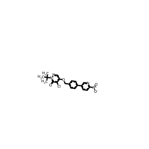 CC(C)(C)n1ncc(OCc2ccc(-c3ccc([N+](=O)[O-])nc3)cc2)c(Cl)c1=O